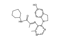 C/C(=N\c1c(C)ncnc1N1CCc2cc(O)ccc21)C(=O)NC1CCCCC1